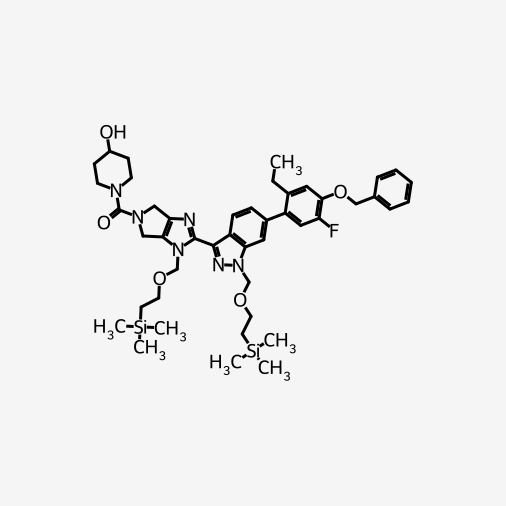 CCc1cc(OCc2ccccc2)c(F)cc1-c1ccc2c(-c3nc4c(n3COCC[Si](C)(C)C)CN(C(=O)N3CCC(O)CC3)C4)nn(COCC[Si](C)(C)C)c2c1